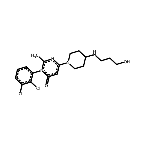 Cc1nc(N2CCC(NCCCO)CC2)cc(=O)n1-c1cccc(Cl)c1Cl